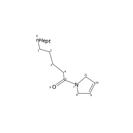 CCCCCCCCCCCC(=O)N1CC=CC1